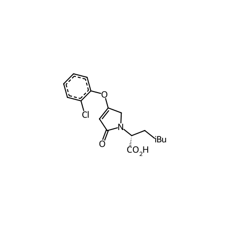 CCC(C)C[C@H](C(=O)O)N1CC(Oc2ccccc2Cl)=CC1=O